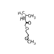 COCCOCC(=O)NC(C)C